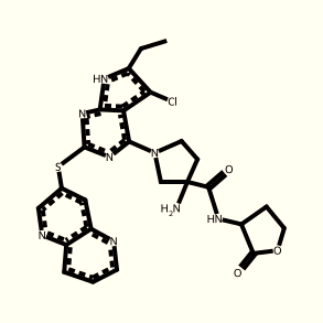 CCc1[nH]c2nc(Sc3cnc4cccnc4c3)nc(N3CCC(N)(C(=O)NC4CCOC4=O)C3)c2c1Cl